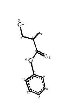 CC(CO)C(=O)Oc1ccccc1